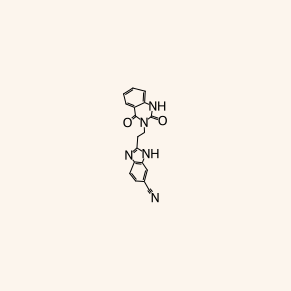 N#Cc1ccc2nc(CCn3c(=O)[nH]c4ccccc4c3=O)[nH]c2c1